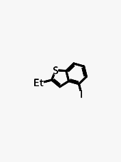 CCc1cc2c(I)cccc2s1